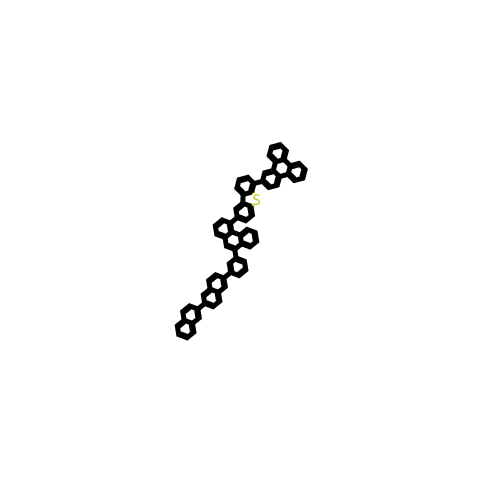 c1cc(-c2ccc3cc(-c4ccc5ccccc5c4)ccc3c2)cc(-c2cc3cccc(-c4ccc5sc6c(-c7ccc8c9ccccc9c9ccccc9c8c7)cccc6c5c4)c3c3ccccc23)c1